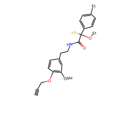 C#CCOc1ccc(CCNC(=O)C(S)(OCC)c2ccc(CC)cc2)cc1OC